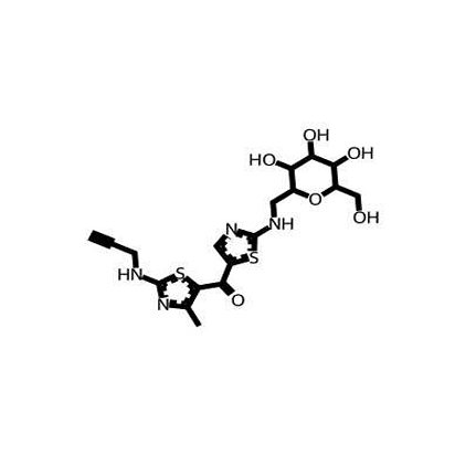 C#CCNc1nc(C)c(C(=O)c2cnc(NCC3OC(CO)C(O)C(O)C3O)s2)s1